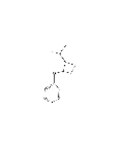 CN(C)C1CCC1Oc1ccccc1